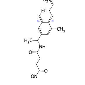 C=CC/C=c1/c(C)cc(C(C)NC(=O)CCC(=O)N=O)c/c1=C/CC